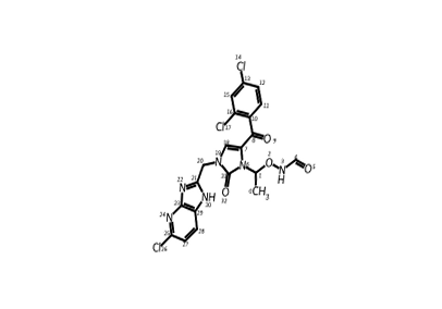 CC(ONC=O)n1c(C(=O)c2ccc(Cl)cc2Cl)cn(Cc2nc3nc(Cl)ccc3[nH]2)c1=O